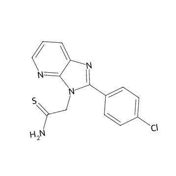 NC(=S)Cn1c(-c2ccc(Cl)cc2)nc2cccnc21